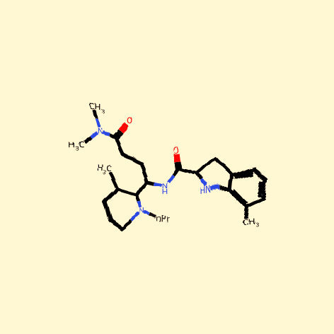 CCCN1CCCC(C)C1C(CCC(=O)N(C)C)NC(=O)C1Cc2cccc(C)c2N1